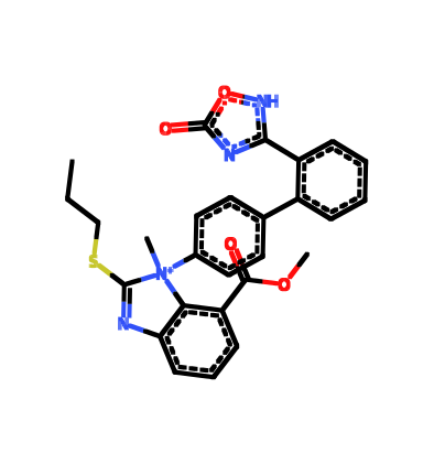 CCCSC1=Nc2cccc(C(=O)OC)c2[N+]1(C)c1ccc(-c2ccccc2-c2nc(=O)o[nH]2)cc1